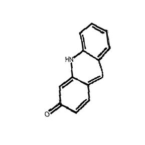 O=c1ccc2cc3ccccc3[nH]c-2c1